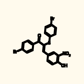 O=C(C(=Cc1ccc(O)c([N+](=O)[O-])c1)Sc1ccc(Br)cc1)c1ccc(Br)cc1